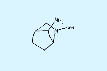 NC1C2CCC1N(S)C2